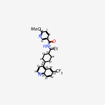 CCC(NC(=O)c1ccc(OC)nc1)C1CCC(c2ccnc3ccc(C(F)(F)F)cc23)CC1